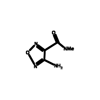 CNC(=O)c1nonc1N